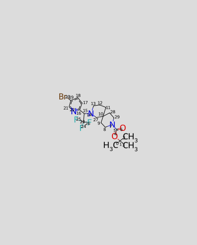 CC(C)(C)OC(=O)N1CCC2(CCCN(C(c3ccc(Br)cn3)C(F)(F)F)C2)CC1